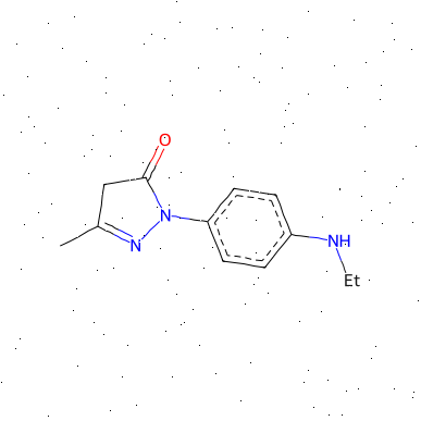 CCNc1ccc(N2N=C(C)CC2=O)cc1